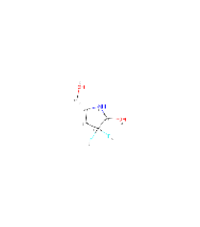 OC[C@H]1CC(F)(F)C(O)N1